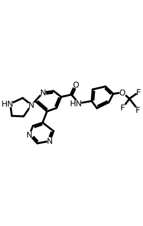 O=C(Nc1ccc(OC(F)(F)F)cc1)c1cnc(N2CCNC2)c(-c2cncnc2)c1